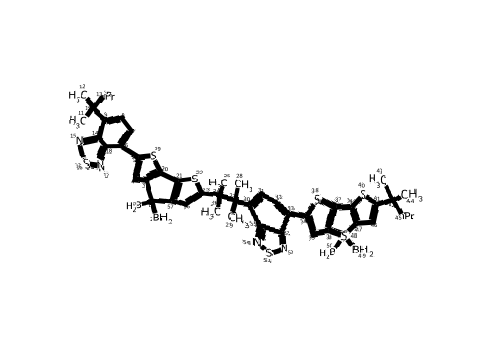 BC1(B)c2cc(-c3ccc(C(C)(C)C(C)C)c4nsnc34)sc2-c2sc(C(C)(C)C(C)(C)c3ccc(-c4cc5c(s4)-c4sc(C(C)(C)C(C)C)cc4S5(B)B)c4nsnc34)cc21